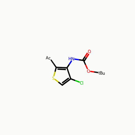 CC(=O)c1scc(Cl)c1NC(=O)OC(C)(C)C